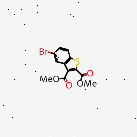 COC(=O)c1sc2ccc(Br)cc2c1C(=O)OC